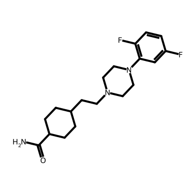 NC(=O)C1CCC(CCN2CCN(c3cc(F)ccc3F)CC2)CC1